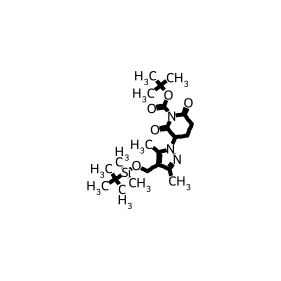 Cc1nn(C2CCC(=O)N(C(=O)OC(C)(C)C)C2=O)c(C)c1CO[Si](C)(C)C(C)(C)C